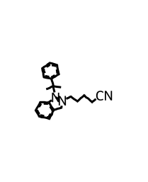 CC(C)(c1ccccc1)N1c2ccccc2CN1CCCCC#N